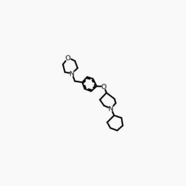 c1cc(OC2CCN(C3CCCCC3)CC2)ccc1CN1CCOCC1